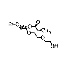 C=CC(=O)OC.CCOCCOCCOCCO